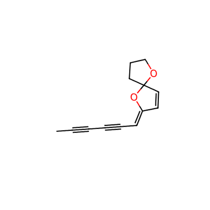 CC#CC#CC=C1C=CC2(CCCO2)O1